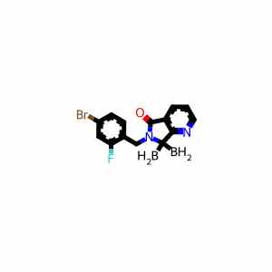 BC1(B)c2ncccc2C(=O)N1Cc1ccc(Br)cc1F